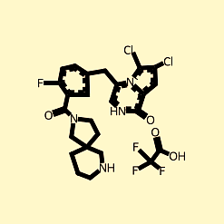 O=C(O)C(F)(F)F.O=C(c1cc(Cc2c[nH]c(=O)c3cc(Cl)c(Cl)n23)ccc1F)N1CCC2(CCCNC2)C1